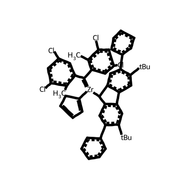 Cc1c(Cl)cc(Cl)cc1[C](c1cc(Cl)cc(Cl)c1C)=[Zr]([C]1=CC=CC1)[CH]1c2cc(-c3ccccc3)c(C(C)(C)C)cc2-c2cc(C(C)(C)C)c(-c3ccccc3)cc21